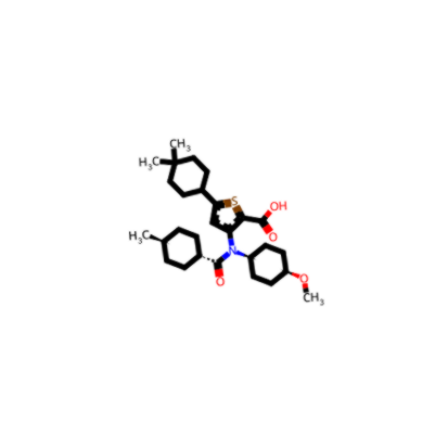 CO[C@H]1CC[C@@H](N(c2cc(C3CCC(C)(C)CC3)sc2C(=O)O)C(=O)[C@H]2CC[C@H](C)CC2)CC1